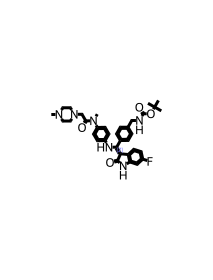 CN1CCN(CC(=O)N(C)c2ccc(N/C(=C3\C(=O)Nc4cc(F)ccc43)c3ccc(CNC(=O)OC(C)(C)C)cc3)cc2)CC1